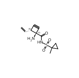 C=C[C@@H]1C#C[C@]1(N)C(=O)NS(=O)(=O)C1(C)CC1